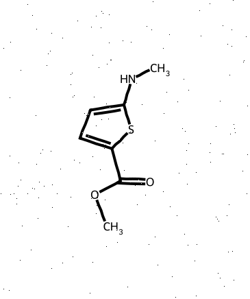 CNc1ccc(C(=O)OC)s1